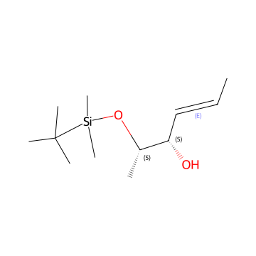 C/C=C/[C@H](O)[C@H](C)O[Si](C)(C)C(C)(C)C